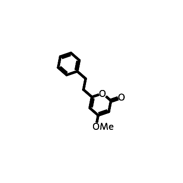 COc1cc(CCc2ccccc2)oc(=O)c1